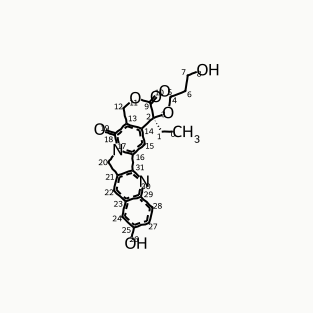 CC[C@@]1(OC(=O)CCO)C(=O)OCc2c1cc1n(c2=O)Cc2cc3cc(O)ccc3nc2-1